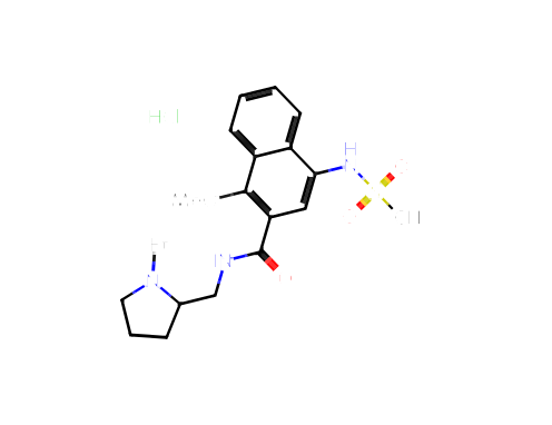 CCN1CCCC1CNC(=O)c1cc(NS(C)(=O)=O)c2ccccc2c1OC.Cl